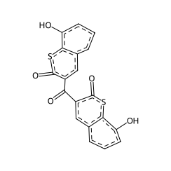 O=C(c1cc2cccc(O)c2sc1=O)c1cc2cccc(O)c2sc1=O